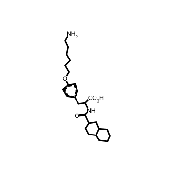 NCCCCCCOc1ccc(CC(NC(=O)C2CCC3CCCCC3C2)C(=O)O)cc1